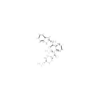 CC1CCN(C(=O)N(C)c2nccnc2C(=O)NC2Cc3ccccc3C2)CC1